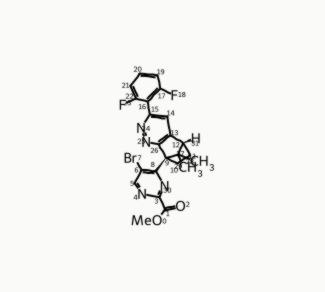 COC(=O)c1ncc(Br)c([C@@]23CC[C@@H](c4cc(-c5c(F)cccc5F)nnc42)C3(C)C)n1